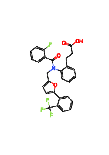 O=C(O)CCc1ccccc1N(Cc1ccc(-c2ccccc2C(F)(F)F)o1)C(=O)c1ccccc1F